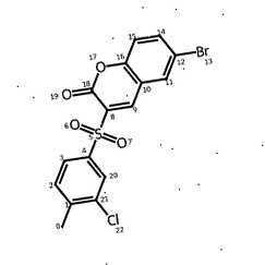 Cc1ccc(S(=O)(=O)c2cc3cc(Br)ccc3oc2=O)cc1Cl